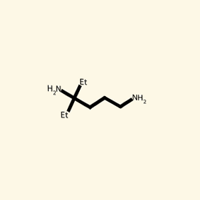 CCC(N)([CH]CCN)CC